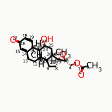 CC(=O)OC[C@H]1O[C@@]12CC[C@H]1[C@@H]3CCC4=CC(=O)C=C[C@]4(C)[C@H]3[C@@H](O)C[C@@]12C